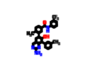 Cc1cccc(-c2c(O)c(-c3cc(C(=O)Nc4cccc(C(F)(F)F)c4)ccc3C)cc3cnc(N)nc23)c1